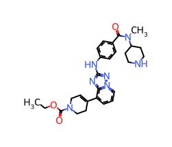 CCOC(=O)N1CC=C(c2cccn3nc(Nc4ccc(C(=O)N(C)C5CCNCC5)cc4)nc23)CC1